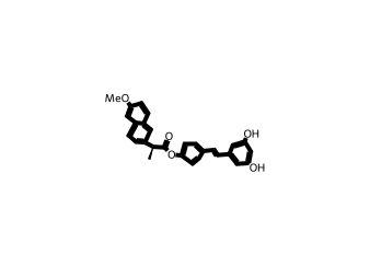 COc1ccc2cc([C@H](C)C(=O)Oc3ccc(/C=C/c4cc(O)cc(O)c4)cc3)ccc2c1